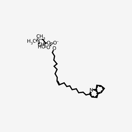 C[N+](C)(C)CC(O)OP(=O)([O-])OCCCCCCCC/C=C\CCCCCCCCc1ccc2ccccc2n1